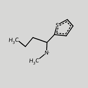 CCCC([N]C)c1cccs1